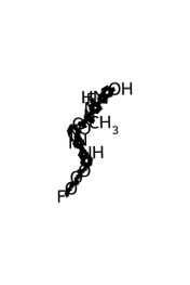 CC1C(C(=O)O[C@@H]2CCCN(c3ncc(-c4cc5cc(OCCOCCOCCF)ccc5[nH]4)cn3)C2)CN1c1ccc(-c2cc3cc(O)ccc3[nH]2)c(F)n1